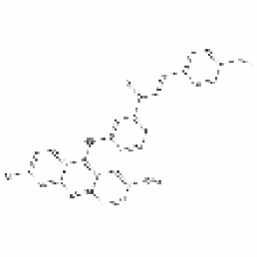 COc1ccc2nc3cc(Cl)ccc3c(Nc3cccc(C(=O)/C=C/c4ccc([N+](=O)[O-])cc4)c3)c2c1